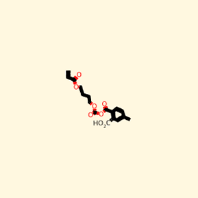 C=CC(=O)OCCCCOC(=O)OC(=O)c1ccc(C)cc1C(=O)O